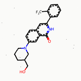 O=c1[nH]c(-c2ccccc2C(F)(F)F)cc2ccc(N3CCCC(CO)C3)cc12